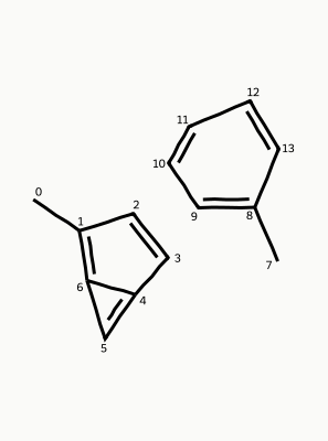 Cc1ccc2cc1-2.Cc1ccccc1